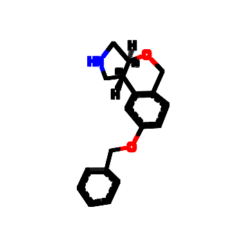 c1ccc(COc2ccc3c(c2)[C@@H]2CNC[C@H]2OC3)cc1